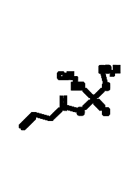 C=CCNOP(=O)(O)OS(=O)(=O)O.[CaH2]